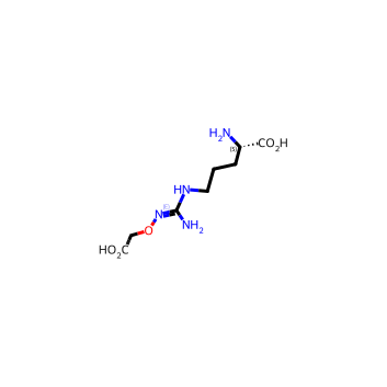 N/C(=N\OCC(=O)O)NCCC[C@H](N)C(=O)O